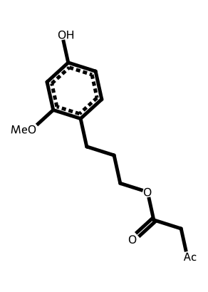 COc1cc(O)ccc1CCCOC(=O)CC(C)=O